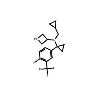 Fc1ccc(C2(N(CC3CC3)C3CNC3)CC2)cc1C(F)(F)F